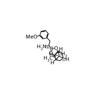 COc1cccc(C[C@H](N)B2O[C@@H]3C[C@@H]4C[C@@H](C4(C)C)[C@]3(C)O2)c1